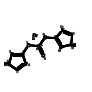 O=[N+](Oc1nc[nH]n1)Oc1nc[nH]n1.[Fe]